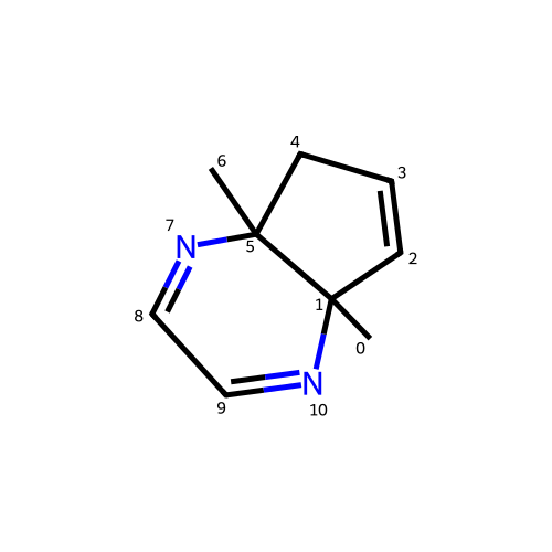 CC12C=CCC1(C)N=CC=N2